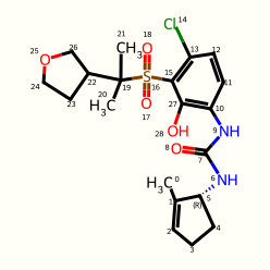 CC1=CCC[C@H]1NC(=O)Nc1ccc(Cl)c(S(=O)(=O)C(C)(C)C2CCOC2)c1O